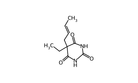 C/C=C/CC1(CC)C(=O)NC(=O)NC1=O